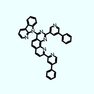 c1ccc(-c2cncc(-c3nc(-n4c5ccccc5c5cccnc54)c4ccc5ccc(-c6cc(-c7ccccc7)ccn6)nc5c4n3)c2)cc1